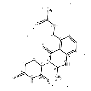 CCCC(=O)NCc1cccc2c1C(=O)N(C1CCC(=O)NC1=O)C(C)N2